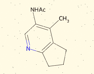 CC(=O)Nc1cnc2c(c1C)CCC2